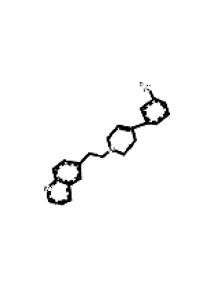 FC(F)(F)c1cccc(C2=CCN(CCc3ccc4ncccc4c3)CC2)c1